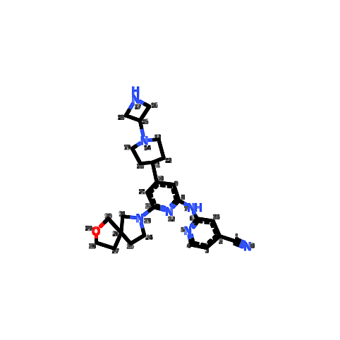 N#Cc1ccnc(Nc2cc(C3CCN(C4CNC4)CC3)cc(N3CCC4(CCOC4)C3)n2)c1